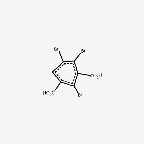 O=C(O)c1cc(Br)c(Br)c(C(=O)O)c1Br